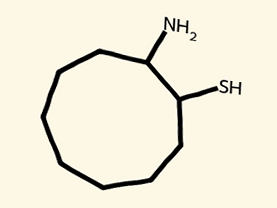 NC1CCCCCCCC1S